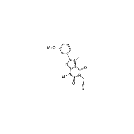 C#CCn1c(=O)c2c(nc(-c3cccc(OC)c3)n2C)n(CC)c1=O